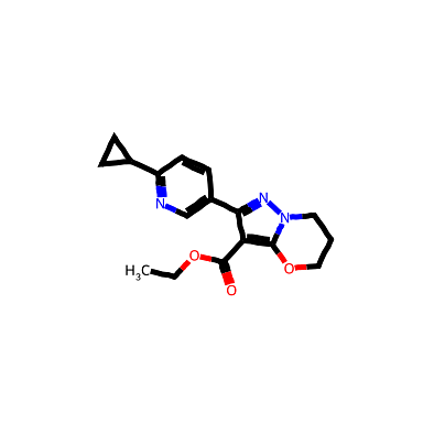 CCOC(=O)c1c(-c2ccc(C3CC3)nc2)nn2c1OCCC2